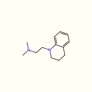 CN(C)CCN1CCCc2ccccc21